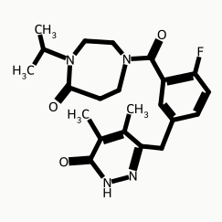 Cc1c(Cc2ccc(F)c(C(=O)N3CCC(=O)N(C(C)C)CC3)c2)n[nH]c(=O)c1C